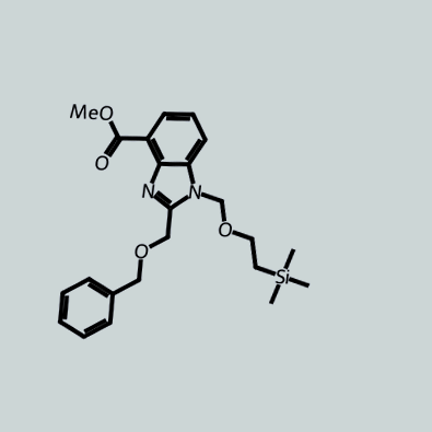 COC(=O)c1cccc2c1nc(COCc1ccccc1)n2COCC[Si](C)(C)C